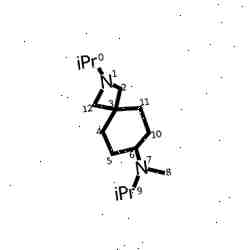 CC(C)N1CC2(CCC(N(C)C(C)C)CC2)C1